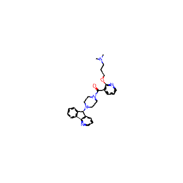 CN(C)CCCOc1ncccc1C(=O)N1CCN([C@@H]2c3ccccc3-c3ncccc32)CC1